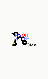 COc1ccc2c(c1)NC(O)C(c1nc3ccc(C)cn3c1NCc1cccs1)C2